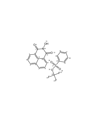 O=C1c2cccc3cccc(c23)C(=O)N1O.O=S(=O)(OC(F)(F)F)c1ccccc1